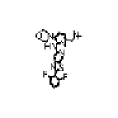 CN(C)Cc1ccc(N2CCOCC2)c(Nc2cc3nc(-c4c(F)cccc4F)sc3cn2)n1